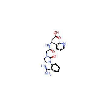 N=C(N)c1ccccc1N1CCN(CC(=O)NC(CC(=O)O)c2cccnc2)C1=O